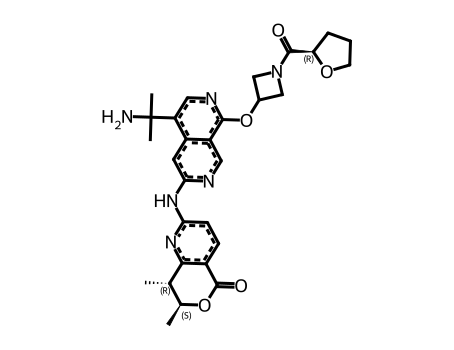 C[C@@H]1OC(=O)c2ccc(Nc3cc4c(C(C)(C)N)cnc(OC5CN(C(=O)[C@H]6CCCO6)C5)c4cn3)nc2[C@H]1C